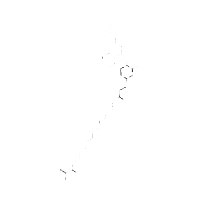 C=C(C)C(=O)OCCCCCCCCCCCOC(=O)C=Cc1ccc(OC(CCCCC)C2CCCCC2)c(OC)c1